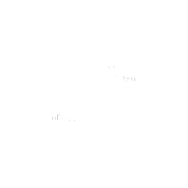 CCCCOc1ccc(-c2ccc(C(=O)C(C)(C)C)cc2)cc1